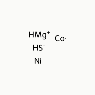 [Co].[MgH+].[Ni].[SH-]